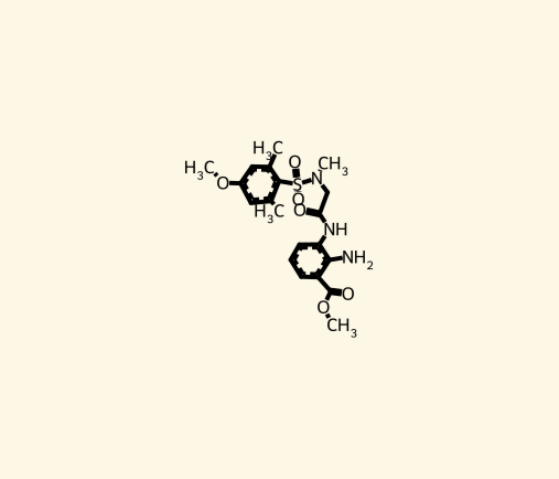 COC(=O)c1cccc(NC(=O)CN(C)S(=O)(=O)c2c(C)cc(OC)cc2C)c1N